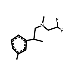 Cc1cccc(C(C)CN(C)CC(F)F)c1